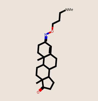 CNCCCON=C1C=C2CCC3C4CCC(=O)C4(C)CCC3C2(C)CC1